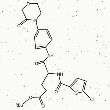 CC(C)(C)OC(=O)CCC(NC(=O)c1ccc(Cl)s1)C(=O)Nc1ccc(N2CCOCC2=O)cc1